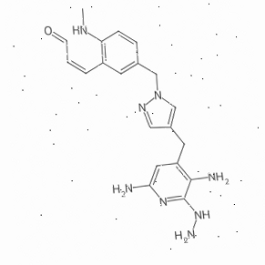 CNc1ccc(Cn2cc(Cc3cc(N)nc(NN)c3N)cn2)cc1/C=C\C=O